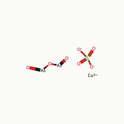 O=S(=O)([O-])[O-].O=[As]O[As]=O.[Cu+2]